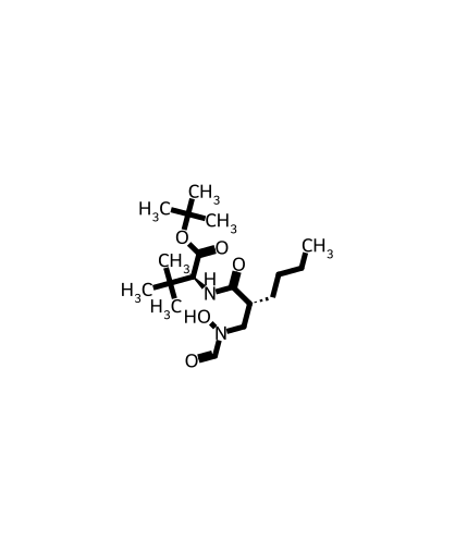 CCCC[C@H](CN(O)C=O)C(=O)N[C@H](C(=O)OC(C)(C)C)C(C)(C)C